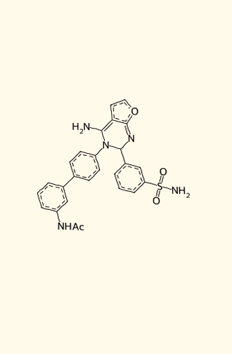 CC(=O)Nc1cccc(-c2ccc(N3C(N)=c4ccoc4=NC3c3cccc(S(N)(=O)=O)c3)cc2)c1